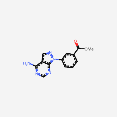 COC(=O)c1cccc(-n2ncc3c(N)ncnc32)c1